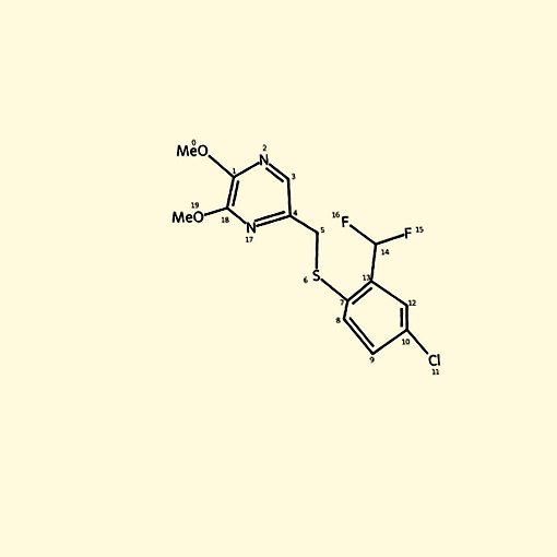 COc1ncc(CSc2ccc(Cl)cc2C(F)F)nc1OC